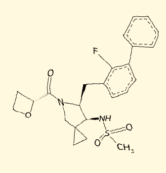 CS(=O)(=O)N[C@@H]1[C@H](Cc2cccc(-c3ccccc3)c2F)N(C(=O)[C@H]2CCO2)CC12CC2